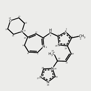 Cc1sc(NC2=NC=CCC(N3CCOCC3)=C2)nc1/C=C\C(C)n1cnnc1